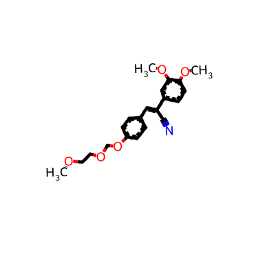 COCCOCOc1ccc(/C=C(\C#N)c2ccc(OC)c(OC)c2)cc1